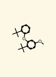 COc1ccc(C(C)(C)C)c(Oc2ccccc2C(C)(C)C)c1